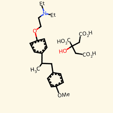 CCN(CC)CCOc1ccc(C(C)Cc2ccc(OC)cc2)cc1.O=C(O)CC(O)(CC(=O)O)C(=O)O